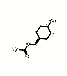 CC(=O)OC=C1CCC(O)CC1